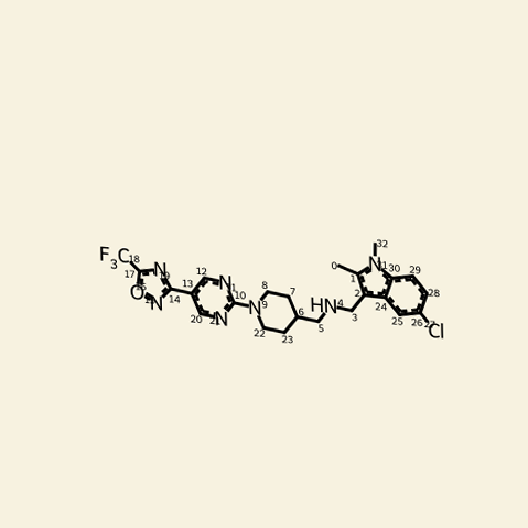 Cc1c(CNCC2CCN(c3ncc(-c4noc(C(F)(F)F)n4)cn3)CC2)c2cc(Cl)ccc2n1C